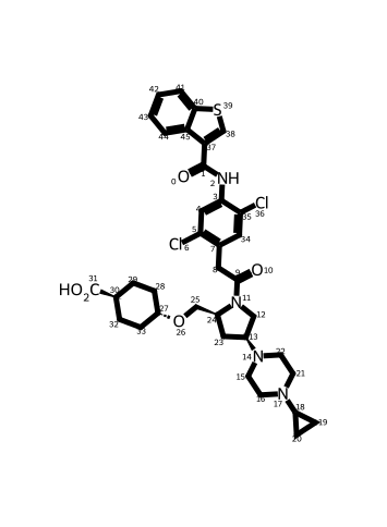 O=C(Nc1cc(Cl)c(CC(=O)N2C[C@@H](N3CCN(C4CC4)CC3)C[C@H]2CO[C@H]2CC[C@H](C(=O)O)CC2)cc1Cl)c1csc2ccccc12